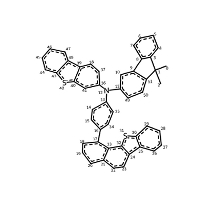 CC1(C)c2ccccc2-c2cc(N(c3ccc(-c4cccc5ccc6c7ccccc7sc6c45)cc3)c3ccc4c(c3)sc3ccccc34)ccc21